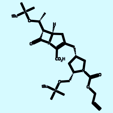 C=CCOC(=O)N1C[C@@H](CC2=C(C(=O)O)N3C(=O)[C@H]([C@@H](C)O[Si](C)(C)C(C)(C)C)[C@H]3C2)C[C@H]1CO[Si](C)(C)C(C)(C)C